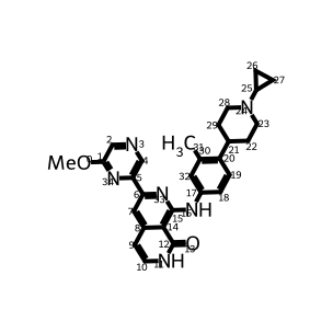 COc1cncc(-c2cc3cc[nH]c(=O)c3c(Nc3ccc(C4CCN(C5CC5)CC4)c(C)c3)n2)n1